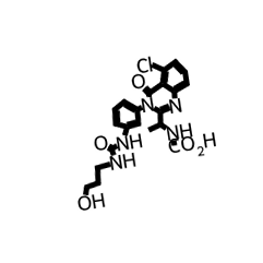 CC(NC(=O)O)c1nc2cccc(Cl)c2c(=O)n1-c1cccc(NC(=O)NCCCO)c1